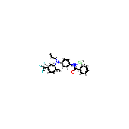 C=CCN(c1ccc(NC(=O)c2ccccc2Cl)cc1)c1cc(C(F)(F)F)ccc1C